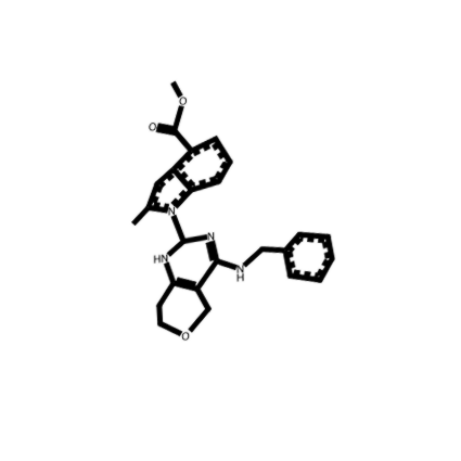 COC(=O)c1cccc2c1cc(C)n2C1N=C(NCc2ccccc2)C2=C(CCOC2)N1